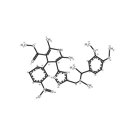 COC(=O)C1=C(C)NC(C)=C(c2nc(CN(C)C(C)c3ccc(OC)c(OC)c3)no2)C1c1cccc([N+](=O)[O-])c1